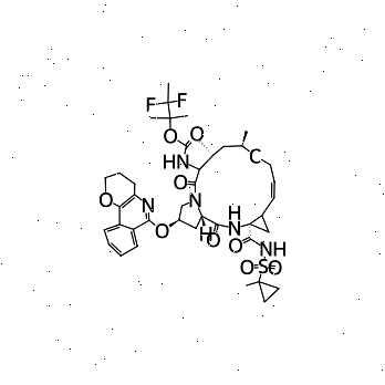 C[C@H]1CC/C=C\C2C[C@@]2(C(=O)NS(=O)(=O)C2(C)CC2)NC(=O)[C@@H]2C[C@@H](Oc3nc4c(c5ccccc35)OCCC4)CN2C(=O)C(NC(=O)OC(C)(C)C(C)(F)F)[C@H](C)C1